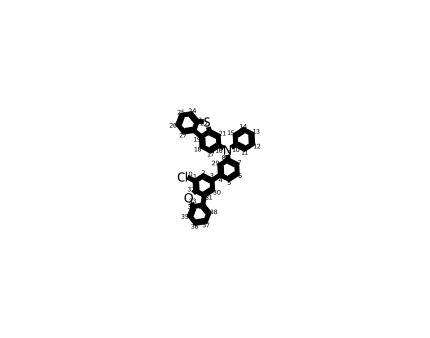 Clc1cc(-c2cccc(N(c3ccccc3)c3ccc4c(c3)sc3ccccc34)c2)cc2c1oc1ccccc12